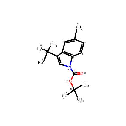 Cc1ccc2c(c1)c(C(C)(C)C)cn2C(=O)OC(C)(C)C